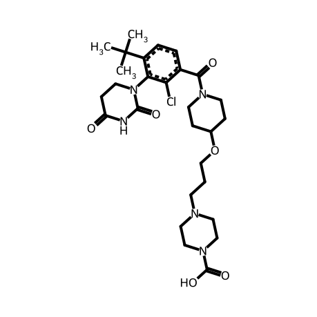 CC(C)(C)c1ccc(C(=O)N2CCC(OCCCN3CCN(C(=O)O)CC3)CC2)c(Cl)c1N1CCC(=O)NC1=O